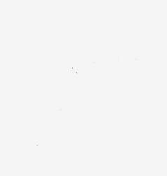 O=C(OCc1ccccc1)N1CC2C=C(c3ccccc3)CC2C1